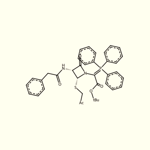 CC(=O)CS[C@@H]1[C@H](NC(=O)Cc2ccccc2)C(=O)N1C(C(=O)OC(C)(C)C)=P(c1ccccc1)(c1ccccc1)c1ccccc1